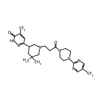 CC1(C)CC(c2cc(C(F)(F)F)c(=O)[nH]n2)CN(CCC(=O)N2CCN(c3ncc(C(F)(F)F)cn3)CC2)C1